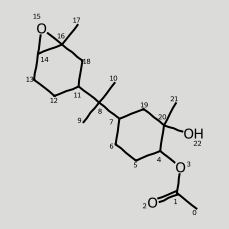 CC(=O)OC1CCC(C(C)(C)C2CCC3OC3(C)C2)CC1(C)O